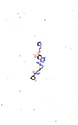 COc1cc2c(Nc3ncc(CCNC(=O)c4cccc(F)c4)s3)ncnc2cc1OCCCN1CCCC1